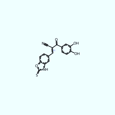 N#C/C(=C\c1ccc2oc(=S)[nH]c2c1)C(=O)c1ccc(O)c(O)c1